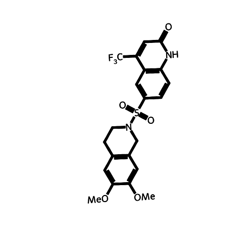 COc1cc2c(cc1OC)CN(S(=O)(=O)c1ccc3[nH]c(=O)cc(C(F)(F)F)c3c1)CC2